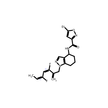 C=C(Cn1ncc2c1CCCC2NC(=O)c1cc(CC)on1)/C(F)=C\C(F)=C/C